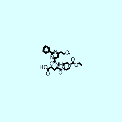 CCOC(=O)N1CCN(C(=O)C(CCC(=O)O)NC(=O)c2cc(CCOC)nc(-c3ccccc3)n2)CC1